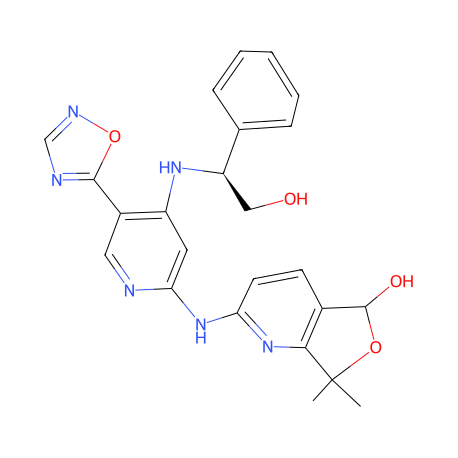 CC1(C)OC(O)c2ccc(Nc3cc(N[C@H](CO)c4ccccc4)c(-c4ncno4)cn3)nc21